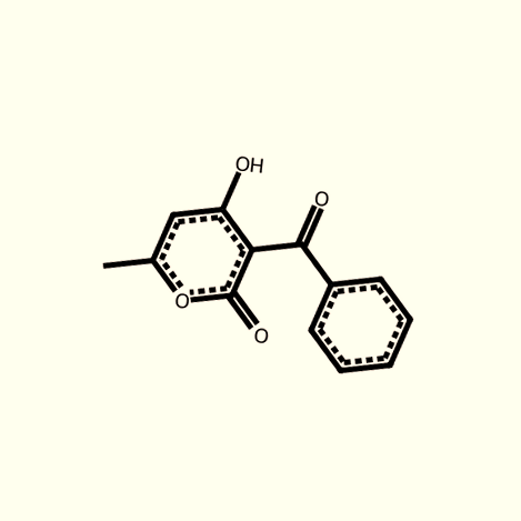 Cc1cc(O)c(C(=O)c2ccccc2)c(=O)o1